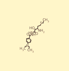 CCSCC[C@@H](N)C(O)C(=O)NNC(=O)c1ccc(N(CC)CC)cc1